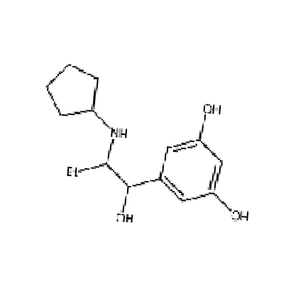 CCC(NC1CCCC1)C(O)c1cc(O)cc(O)c1